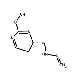 C=NNC[C@@H]1CC=NC(OC)=N1